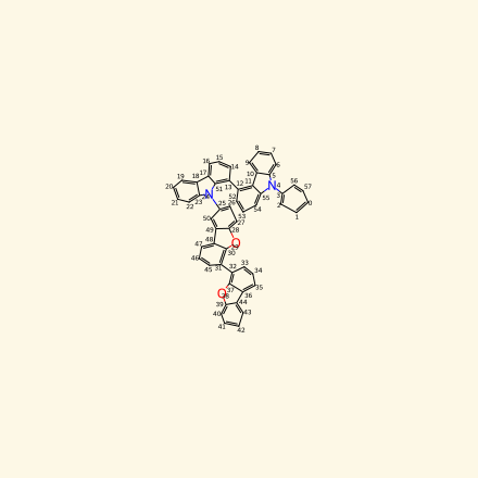 c1ccc(-n2c3ccccc3c3c(-c4cccc5c6ccccc6n(-c6ccc7oc8c(-c9cccc%10c9oc9ccccc9%10)cccc8c7c6)c45)cccc32)cc1